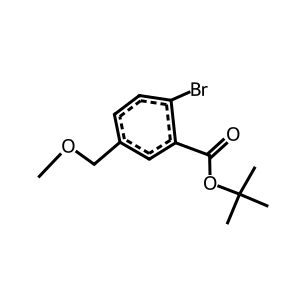 COCc1ccc(Br)c(C(=O)OC(C)(C)C)c1